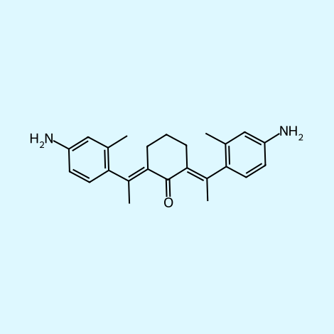 CC(=C1CCCC(=C(C)c2ccc(N)cc2C)C1=O)c1ccc(N)cc1C